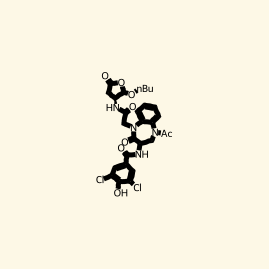 CCCCOC1OC(=O)C[C@@H]1NC(=O)CN1C(=O)C(NC(=O)c2cc(Cl)c(O)c(Cl)c2)CN(C(C)=O)c2ccccc21